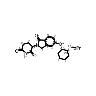 CC(C)N[C@@H]1CCCC[C@@H]1Oc1ccc2c(c1)CN(C1CCC(=O)NC1=O)C2=O